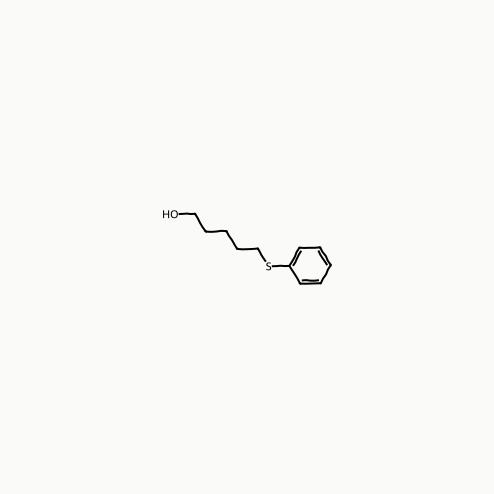 OCCCCCSc1ccccc1